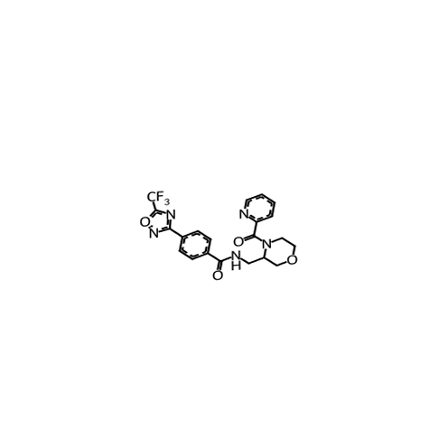 O=C(NCC1COCCN1C(=O)c1ccccn1)c1ccc(-c2noc(C(F)(F)F)n2)cc1